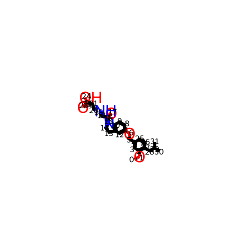 COc1cc(COc2ccc3c(c2)CCN3C(=O)CNCCC(=O)O)ccc1CC(C)C